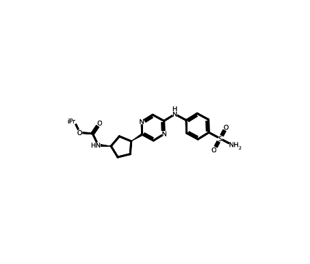 CC(C)OC(=O)N[C@@H]1CC[C@H](c2cnc(Nc3ccc(S(N)(=O)=O)cc3)cn2)C1